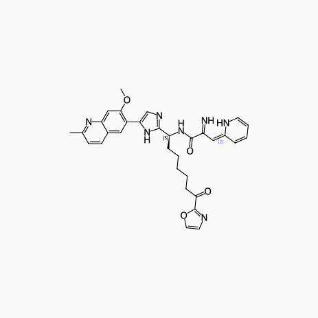 COc1cc2nc(C)ccc2cc1-c1cnc([C@H](CCCCCC(=O)c2ncco2)NC(=O)C(=N)/C=C2/C=CC=CN2)[nH]1